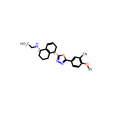 CC(C)Oc1ccc(-c2nnc([C@H]3CC=CC4=C3CCC[C@@H]4NCC(=O)O)s2)cc1C#N